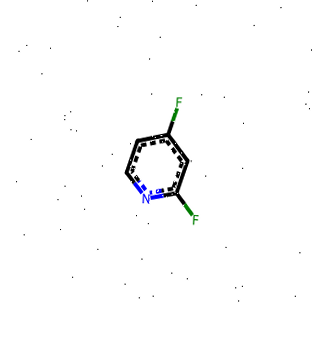 Fc1[c]c(F)ncc1